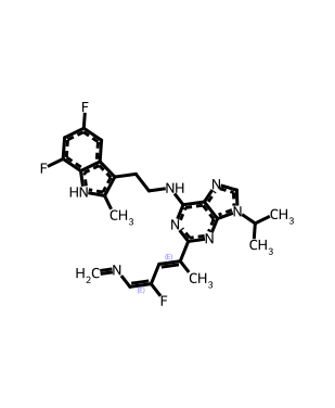 C=N/C=C(F)\C=C(/C)c1nc(NCCc2c(C)[nH]c3c(F)cc(F)cc23)c2ncn(C(C)C)c2n1